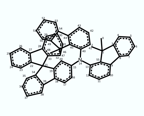 CC1(C)c2ccccc2-c2cccc(N(c3ccc4c(c3)C3(c5ccccc5-c5ccccc53)c3ccccc3-4)c3cccc4c3C(C)(C)c3ccccc3-4)c21